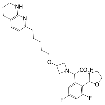 O=C(O)C(c1cc(F)cc(F)c1C1CCCO1)N1CC(OCCCCCc2ccc3c(n2)NCCC3)C1